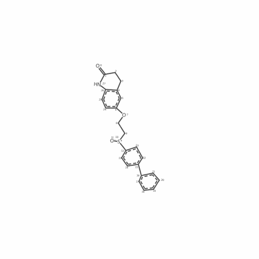 O=C1CCc2cc(OCC[S+]([O-])c3ccc(-c4ccccc4)cc3)ccc2N1